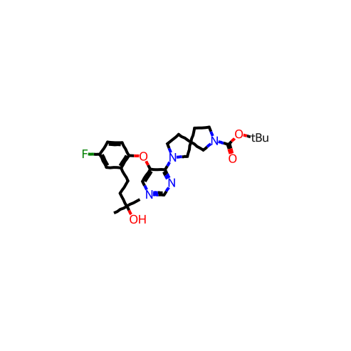 CC(C)(O)CCc1cc(F)ccc1Oc1cncnc1N1CCC2(CCN(C(=O)OC(C)(C)C)C2)C1